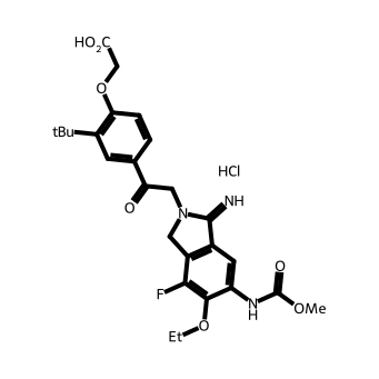 CCOc1c(NC(=O)OC)cc2c(c1F)CN(CC(=O)c1ccc(OCC(=O)O)c(C(C)(C)C)c1)C2=N.Cl